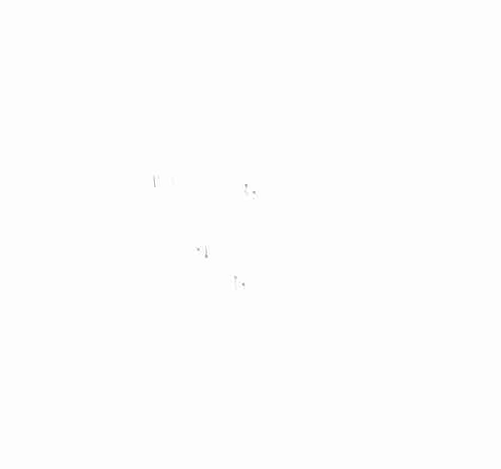 O=C1N=NC(S)=NC1=O